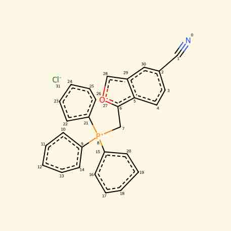 N#Cc1ccc2c(C[P+](c3ccccc3)(c3ccccc3)c3ccccc3)occ2c1.[Cl-]